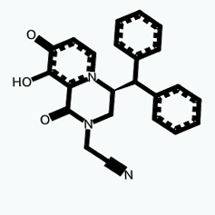 N#CCN1C[C@H](C(c2ccccc2)c2ccccc2)n2ccc(=O)c(O)c2C1=O